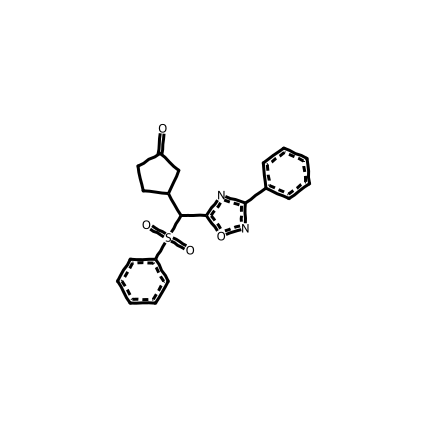 O=C1CCC(C(c2nc(-c3ccccc3)no2)S(=O)(=O)c2ccccc2)C1